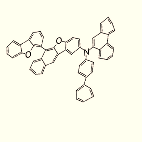 c1ccc(-c2ccc(N(c3ccc4oc5c(-c6cccc7c6oc6ccccc67)c6ccccc6cc5c4c3)c3cc4ccccc4c4ccccc34)cc2)cc1